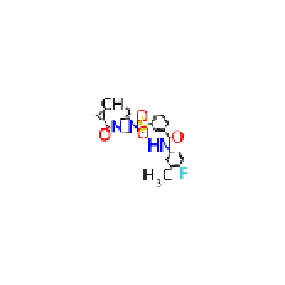 Cc1cc(NC(=O)c2cccc(S(=O)(=O)N3CCN(C(=O)C4CC4C)CC3)c2)ccc1F